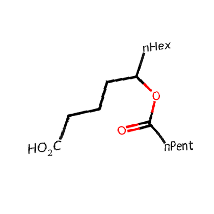 CCCCCCC(CCCC(=O)O)OC(=O)CCCCC